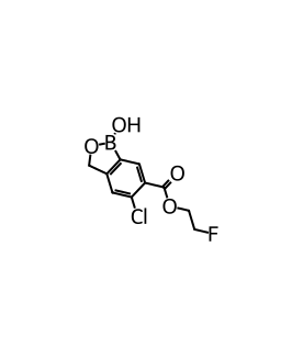 O=C(OCCF)c1cc2c(cc1Cl)COB2O